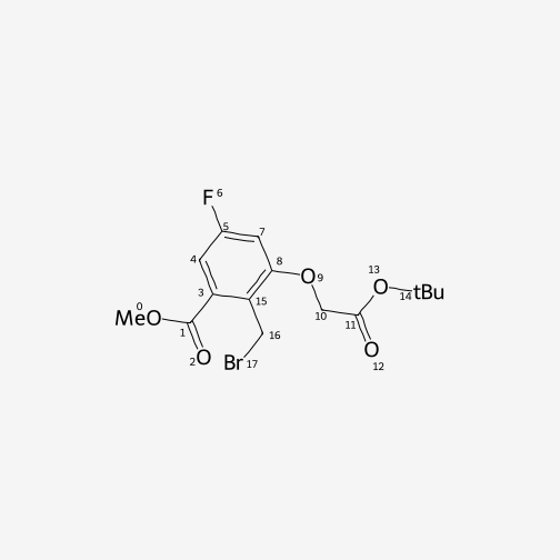 COC(=O)c1cc(F)cc(OCC(=O)OC(C)(C)C)c1CBr